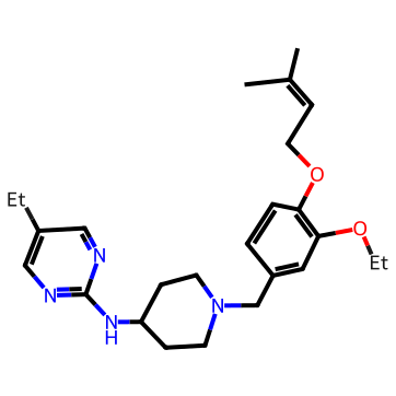 CCOc1cc(CN2CCC(Nc3ncc(CC)cn3)CC2)ccc1OCC=C(C)C